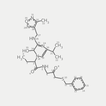 CCC(C(=O)NCC(=O)CSCc1ccccc1)N1C=C(C(C)C)N=C(NCc2nonc2C)C1O